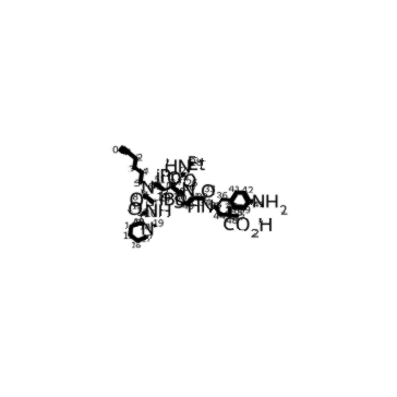 C#CCCCCN(C(=O)[C@@H](NC(=O)[C@H]1CCCCN1C)[C@@H](C)CC)[C@H](C[C@@H](OC(=O)NCC)c1nc(C(=O)N[C@@H](Cc2ccc(N)cc2)CC(C)(C)C(=O)O)cs1)C(C)C